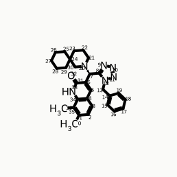 Cc1ccc2cc([C@H](c3nnnn3Cc3ccccc3)N3CCCC4(CCCCC4)C3)c(=O)[nH]c2c1C